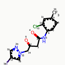 O=C(CC(=O)Nc1ccc(C(F)(F)F)cc1Cl)Cn1cc(I)cn1